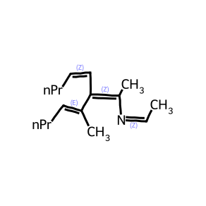 C\C=N/C(C)=C(/C=C\CCC)C(\C)=C\CCC